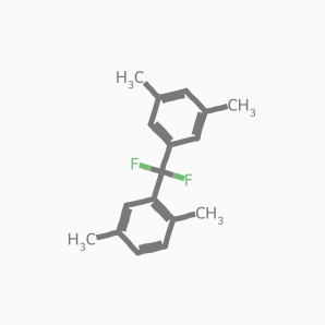 Cc1cc(C)cc(C(F)(F)c2cc(C)ccc2C)c1